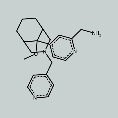 COC1(c2ccnc(CN)c2)C2CCCC1CN(Cc1ccncc1)C2